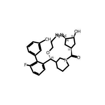 CC(=O)NCCO[C@@H](c1cccc(F)c1-c1cccc(C)c1)C1CCCN(C(=O)[C@H]2C[C@@H](N)[C@@H](O)C2)C1